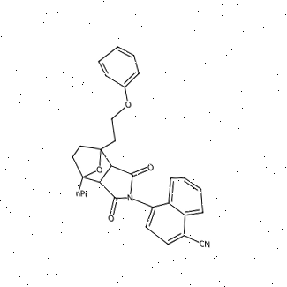 CCCC12CCC(CCOc3ccccc3)(O1)C1C(=O)N(c3ccc(C#N)c4ccccc34)C(=O)C12